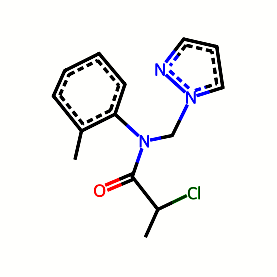 Cc1ccccc1N(Cn1cccn1)C(=O)C(C)Cl